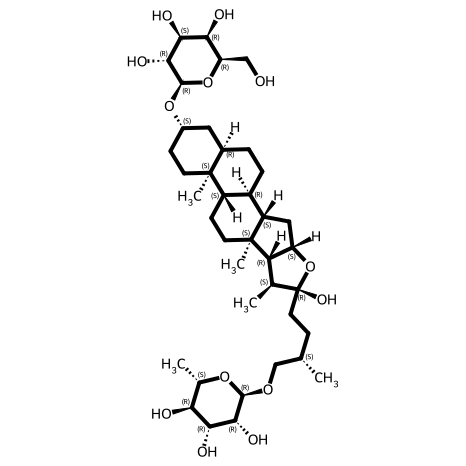 C[C@@H](CC[C@@]1(O)O[C@H]2C[C@H]3[C@@H]4CC[C@@H]5C[C@@H](O[C@@H]6O[C@H](CO)[C@H](O)[C@H](O)[C@H]6O)CC[C@]5(C)[C@H]4CC[C@]3(C)[C@H]2[C@@H]1C)CO[C@@H]1O[C@@H](C)[C@H](O)[C@@H](O)[C@H]1O